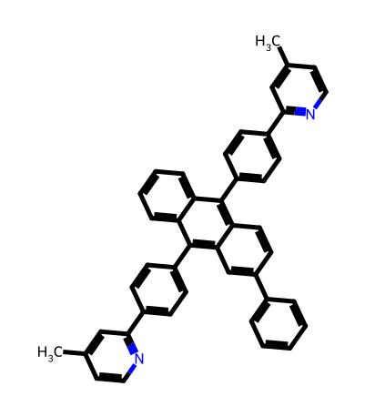 Cc1ccnc(-c2ccc(-c3c4ccccc4c(-c4ccc(-c5cc(C)ccn5)cc4)c4cc(-c5ccccc5)ccc34)cc2)c1